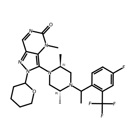 CC(c1ccc(F)cc1C(F)(F)F)N1C[C@H](C)N(c2c3c(cnc(=O)n3C)nn2C2CCCCO2)C[C@H]1C